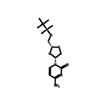 CC(C)(C)[Si](C)(C)OC[C@H]1O[C@@H](n2ccc(N)nc2=O)CS1